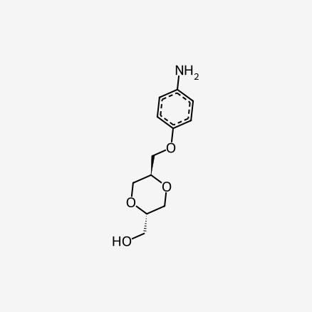 Nc1ccc(OC[C@@H]2CO[C@@H](CO)CO2)cc1